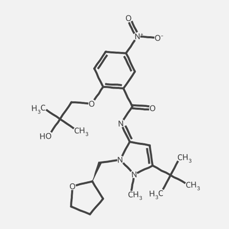 Cn1c(C(C)(C)C)c/c(=N\C(=O)c2cc([N+](=O)[O-])ccc2OCC(C)(C)O)n1C[C@H]1CCCO1